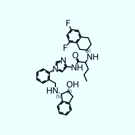 CCCC(N[C@H]1CCc2cc(F)cc(F)c2C1)C(=O)Nc1cn(-c2ccccc2CN[C@H]2c3ccccc3C[C@H]2O)cn1